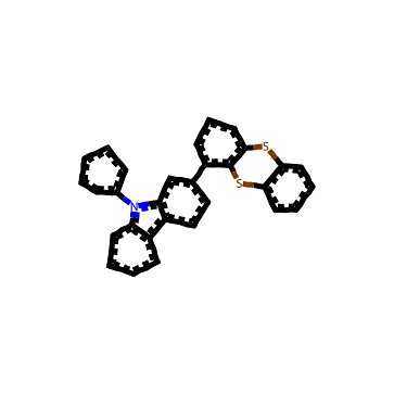 c1ccc(-n2c3ccccc3c3ccc(-c4cccc5c4Sc4ccccc4S5)cc32)cc1